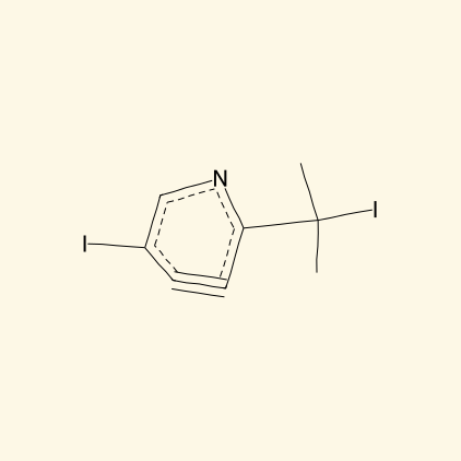 CC(C)(I)c1c#cc(I)cn1